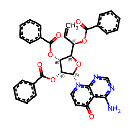 C=C[C@@H](OC(=O)c1ccccc1)[C@H]1O[C@H](n2ccc(=O)c3c(N)ncnc32)[C@H](OC(=O)c2ccccc2)[C@@H]1OC(=O)c1ccccc1